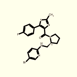 Cc1nc(C(=O)N2CCC[C@H]2CNc2ccc(Br)cn2)c(-c2ccc(F)cc2)s1